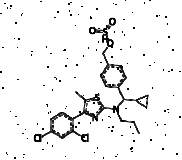 CCCN(c1nc(-c2ccc(Cl)cc2Cl)c(C)s1)C(c1ccc(CO[SH](=O)=O)cc1)C1CC1